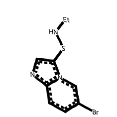 CCNSc1cnc2ccc(Br)cn12